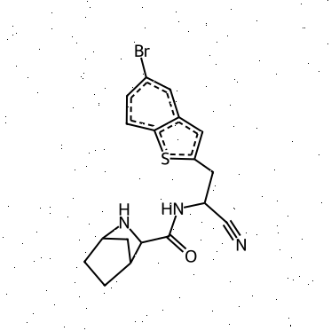 N#CC(Cc1cc2cc(Br)ccc2s1)NC(=O)C1NC2CCC1C2